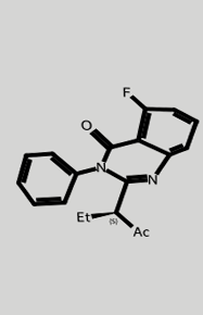 CC[C@H](C(C)=O)c1nc2cccc(F)c2c(=O)n1-c1ccccc1